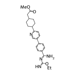 CCOC(=N)/N=C(\N)c1ccc(-c2ccc(C3CCC(CC(=O)OC)CC3)nc2)cc1